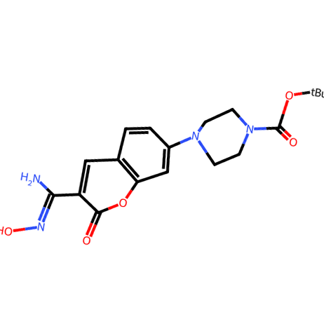 CC(C)(C)OC(=O)N1CCN(c2ccc3cc(C(N)=NO)c(=O)oc3c2)CC1